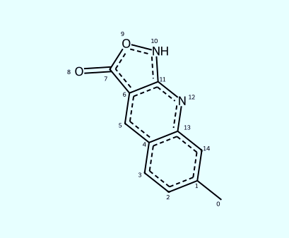 Cc1ccc2cc3c(=O)o[nH]c3nc2c1